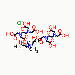 C=CC[N+](C)(C)CC=C.O=C(O)CN(CCN(CC(=O)O)CC(=O)O)CC(=O)O.O=C(O)CN(CCN(CC(=O)O)CC(=O)O)CC(=O)O.[Cl-]